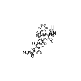 COc1cc(N(C(=O)[C@@H](N)Cc2c(C)cc(C(N)=O)cc2C)[C@@H](C)c2ncc(-c3ccccc3)[nH]2)ccc1N1CNN=N1